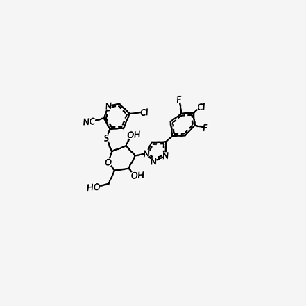 N#Cc1ncc(Cl)cc1SC1OC(CO)C(O)C(n2cc(-c3cc(F)c(Cl)c(F)c3)nn2)[C@@H]1O